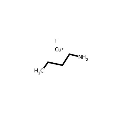 CCCCN.[Cu+].[I-]